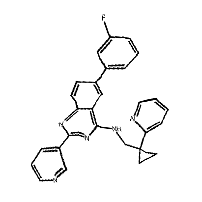 Fc1cccc(-c2ccc3nc(-c4cccnc4)nc(NCC4(c5ccccn5)CC4)c3c2)c1